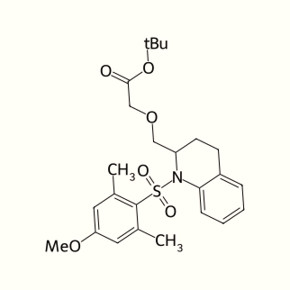 COc1cc(C)c(S(=O)(=O)N2c3ccccc3CCC2COCC(=O)OC(C)(C)C)c(C)c1